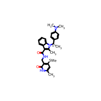 CSc1cc(C)[nH]c(=O)c1CNC(=O)c1c(C)n([C@@H](C)c2ccc(N(C)C)cc2)c2ccccc12